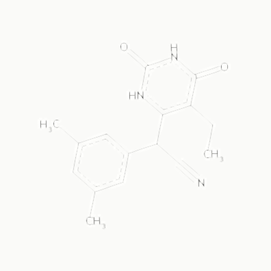 CCc1c(C(C#N)c2cc(C)cc(C)c2)[nH]c(=O)[nH]c1=O